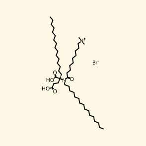 CCCCCCCCCCCCCCCCN(C(=O)CCCCCCCCC[N+](C)(C)C)[C@](CCCCCCCCCCCCCCCC)(CCC(=O)O)C(=O)O.[Br-]